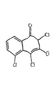 O=C1c2cccc(Cl)c2C(Cl)=C(Cl)C1Cl